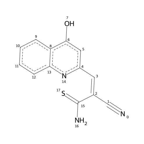 N#CC(=Cc1cc(O)c2ccccc2n1)C(N)=S